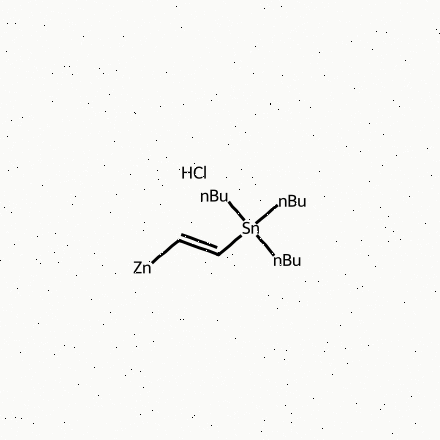 CCC[CH2][Sn]([CH]=[CH][Zn])([CH2]CCC)[CH2]CCC.Cl